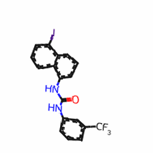 O=C(Nc1cccc(C(F)(F)F)c1)Nc1cccc2c(I)cccc12